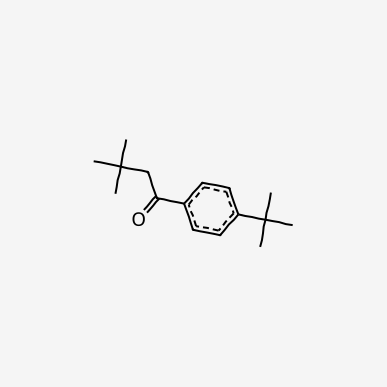 CC(C)(C)CC(=O)c1ccc(C(C)(C)C)cc1